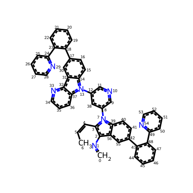 C=Nc1c(/C=C\C)n(-c2cncc(-n3c4ccc(-c5ccccc5-c5ccccn5)cc4c4ncccc43)c2)c2ccc(-c3ccccc3-c3ccccn3)cc12